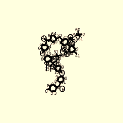 Cc1ccc(C(=O)c2ccc(Oc3ccc(C(c4ccc(Oc5ccc(C(=O)c6ccc(Cc7ccc(-c8ccc(C)cc8S(=O)(=O)OCC(C)(C)C)c(S(=O)(=O)OCC(C)(C)C)c7)cc6)cc5)cc4)(C(F)(F)F)C(F)(F)F)cc3)cc2)cc1